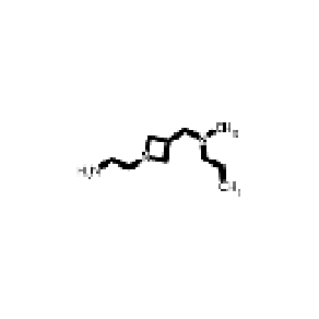 CCCN(C)CC1CN(CCN)C1